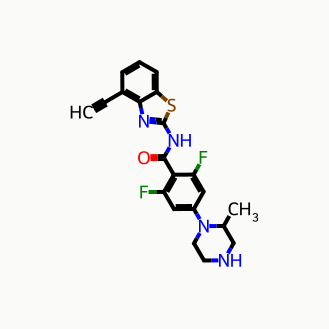 C#Cc1cccc2sc(NC(=O)c3c(F)cc(N4CCNCC4C)cc3F)nc12